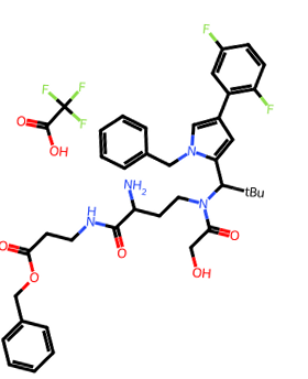 CC(C)(C)C(c1cc(-c2cc(F)ccc2F)cn1Cc1ccccc1)N(CCC(N)C(=O)NCCC(=O)OCc1ccccc1)C(=O)CO.O=C(O)C(F)(F)F